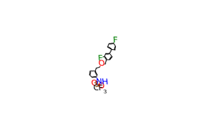 O=S(=O)(Nc1cccc(CCOCc2ccc(-c3ccc(F)cc3)cc2F)c1)C(F)(F)F